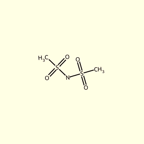 CS(=O)(=O)[N]S(C)(=O)=O